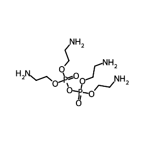 NCCOP(=O)(OCCN)OP(=O)(OCCN)OCCN